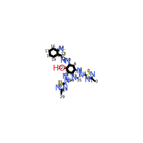 Cc1nsc(/N=N/c2cc(/N=N/c3snc4ccccc34)c(O)c(/N=N/c3nc(C)ns3)c2N(C)C)n1